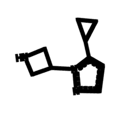 c1cc(C2CC2)n(C2CNC2)n1